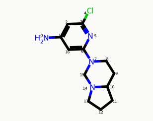 Nc1cc(Cl)nc(N2CCC3CCCN3C2)c1